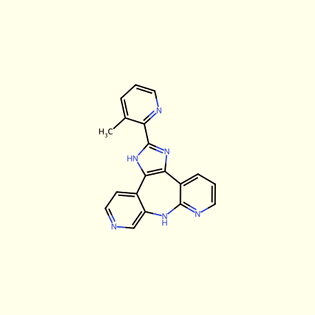 Cc1cccnc1-c1nc2c([nH]1)-c1ccncc1Nc1ncccc1-2